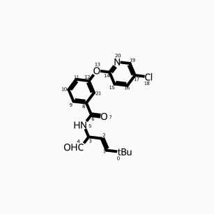 CC(C)(C)/C=C/C(C=O)NC(=O)c1cccc(Oc2ccc(Cl)cn2)c1